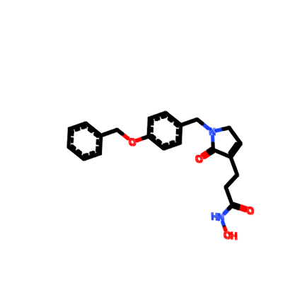 O=C(CCC1=CCN(Cc2ccc(OCc3ccccc3)cc2)C1=O)NO